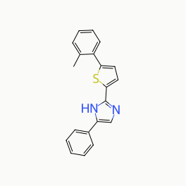 Cc1ccccc1-c1ccc(-c2ncc(-c3ccccc3)[nH]2)s1